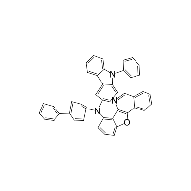 c1ccc(-c2ccc(N(c3ccc4c(c3)c3ccccc3n4-c3ccccc3)c3cccc4oc5c6ccccc6cnc5c34)cc2)cc1